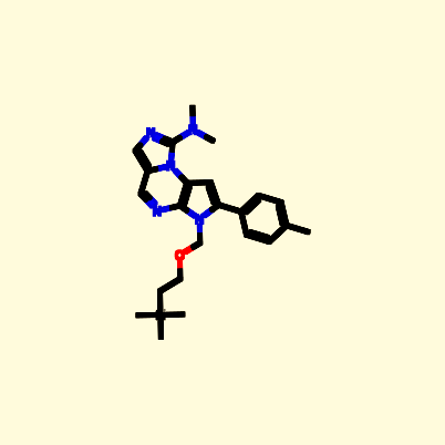 Cc1ccc(-c2cc3c(ncc4cnc(N(C)C)n43)n2COCC[Si](C)(C)C)cc1